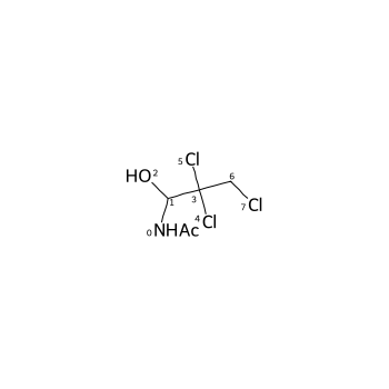 CC(=O)NC(O)C(Cl)(Cl)CCl